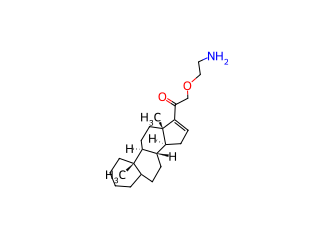 C[C@]12CCCCC1CC[C@@H]1[C@@H]2CC[C@]2(C)C(C(=O)COCCN)=CC[C@@H]12